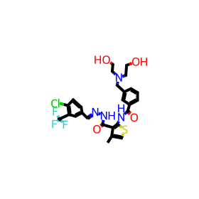 Cc1csc(NC(=O)c2cccc(CN(CCO)CCO)c2)c1C(=O)N/N=C/c1ccc(Cl)c(C(F)(F)F)c1